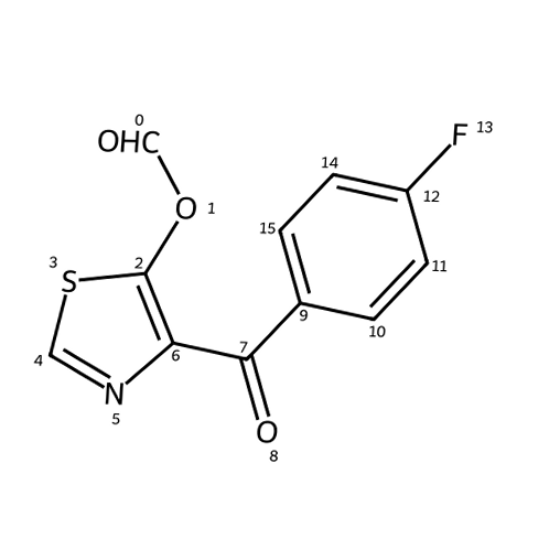 O=COc1scnc1C(=O)c1ccc(F)cc1